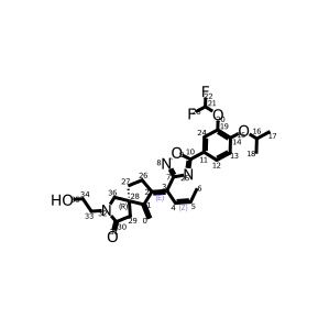 C=C1/C(=C(\C=C/C)c2noc(-c3ccc(OC(C)C)c(OC(F)F)c3)n2)CC[C@@]12CC(=O)N(CCO)C2